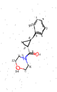 O=C([C@@H]1C[C@H]1c1ccccc1)N1CCOCC1